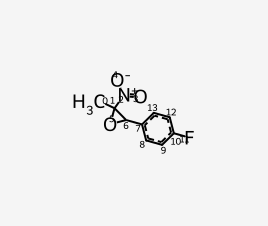 CC1([N+](=O)[O-])OC1c1ccc(F)cc1